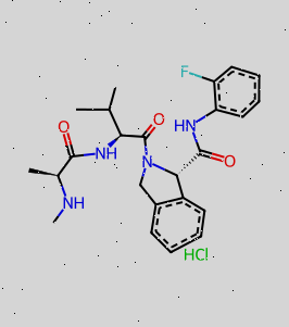 CN[C@@H](C)C(=O)N[C@H](C(=O)N1Cc2ccccc2[C@H]1C(=O)Nc1ccccc1F)C(C)C.Cl